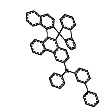 c1ccc(-c2cccc(N(c3ccccc3)c3ccc4c5c(c6ccccc6c4c3)-c3c(ccc4ccccc34)C53c4ccccc4-c4ccccc43)c2)cc1